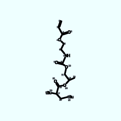 C=CC(=O)OCCNC(=O)OCC(C)OC(=O)C(CC(C)(C)C)C(C)(C)C